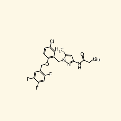 Cc1cc(NC(=O)CC(C)(C)C)nn1Cc1cc(Cl)ccc1OCc1cc(F)c(F)cc1F